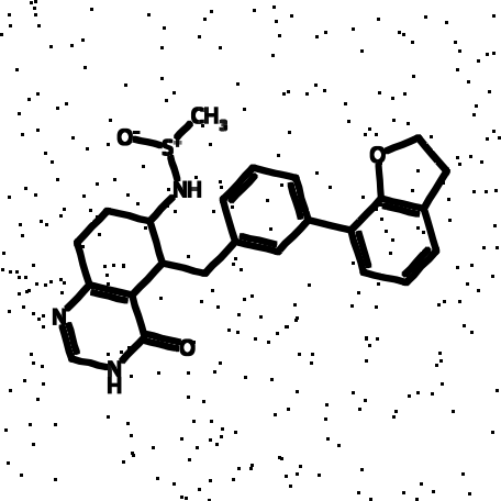 C[S+]([O-])NC1CCc2nc[nH]c(=O)c2C1Cc1cccc(-c2cccc3c2OCC3)c1